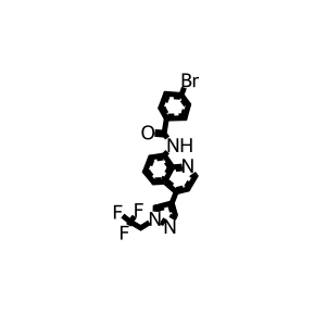 O=C(Nc1cccc2c(-c3cnn(CC(F)(F)F)c3)ccnc12)c1ccc(Br)cc1